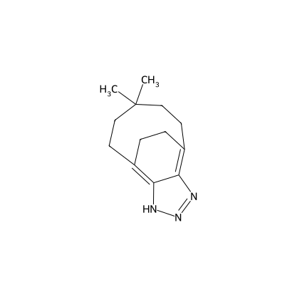 CC1(C)CCC2=c3nn[nH]c3=C(CC2)CC1